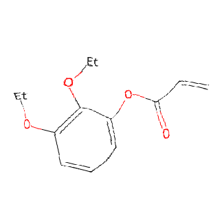 C=CC(=O)Oc1cccc(OCC)c1OCC